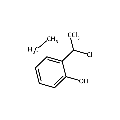 CC.Oc1ccccc1C(Cl)C(Cl)(Cl)Cl